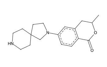 CC1Cc2cc(N3CCC4(CCNCC4)C3)ccc2C(=O)O1